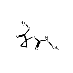 CNC(=O)OC1(C(=O)OC)CC1